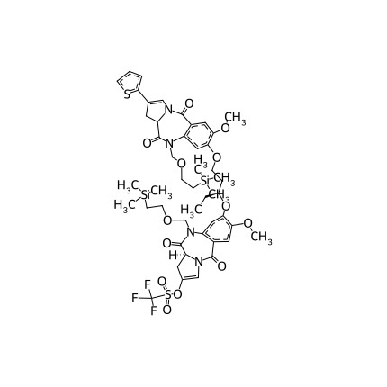 CC[C@@H](CCOc1cc2c(cc1OC)C(=O)N1C=C(c3cccs3)CC1C(=O)N2COCC[Si](C)(C)C)Oc1cc2c(cc1OC)C(=O)N1C=C(OS(=O)(=O)C(F)(F)F)C[C@H]1C(=O)N2COCC[Si](C)(C)C